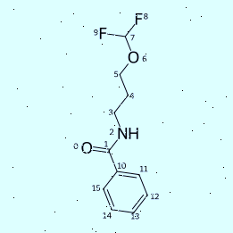 O=C(NCCCOC(F)F)c1ccccc1